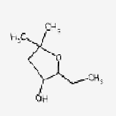 CCC1OC(C)(C)CC1O